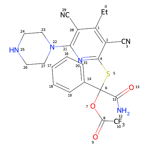 CCc1c(C#N)c(SC(OC(=O)C(F)(F)F)(C(N)=O)c2ccccc2)nc(N2CCNCC2)c1C#N